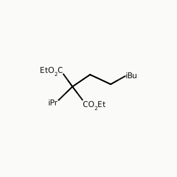 CCOC(=O)C(CCC(C)CC)(C(=O)OCC)C(C)C